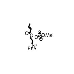 CC=CC(=O)OCCC[N+](C)(C)CC.COS(=O)(=O)[O-]